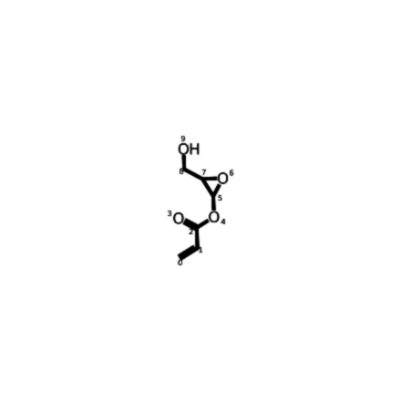 C=CC(=O)OC1OC1CO